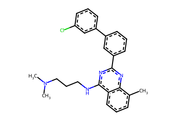 Cc1cccc2c(NCCCN(C)C)nc(-c3cccc(-c4cccc(Cl)c4)c3)nc12